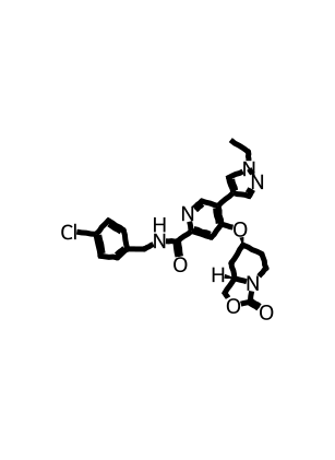 CCn1cc(-c2cnc(C(=O)NCc3ccc(Cl)cc3)cc2O[C@H]2CCN3C(=O)OC[C@@H]3C2)cn1